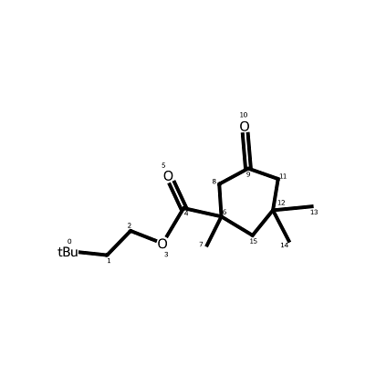 CC(C)(C)CCOC(=O)C1(C)CC(=O)CC(C)(C)C1